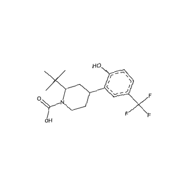 CC(C)(C)C1CC(c2cc(C(F)(F)F)ccc2O)CCN1C(=O)O